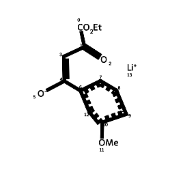 CCOC(=O)C(=O)/C=C(/[O-])c1cccc(OC)c1.[Li+]